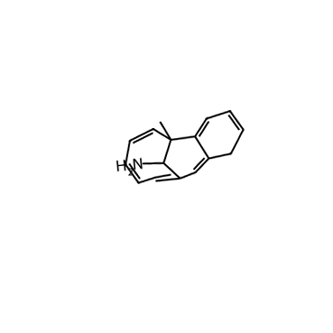 CC12\C=C/C=C\C=C(/C=C3CC=CC=C31)C2N